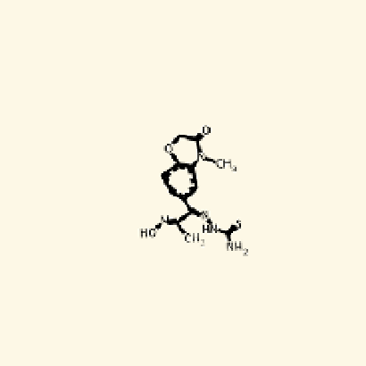 CC(=NO)C(=NNC(N)=S)c1ccc2c(c1)N(C)C(=O)CO2